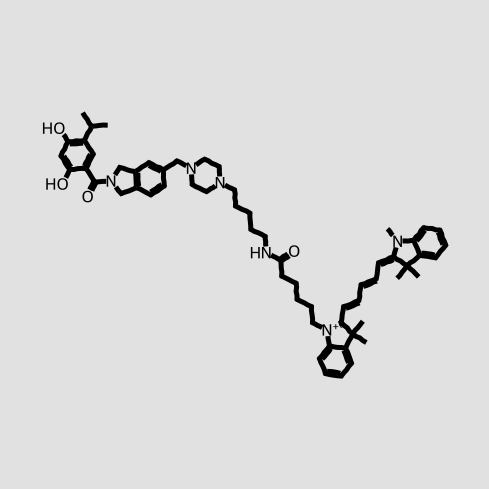 CC(C)c1cc(C(=O)N2Cc3ccc(CN4CCN(CCCCCNC(=O)CCCCC[N+]5=C(/C=C/C=C/C=C6/N(C)c7ccccc7C6(C)C)C(C)(C)c6ccccc65)CC4)cc3C2)c(O)cc1O